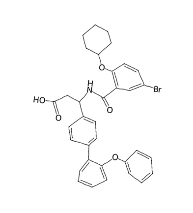 O=C(O)CC(NC(=O)c1cc(Br)ccc1OC1CCCCC1)c1ccc(-c2ccccc2Oc2ccccc2)cc1